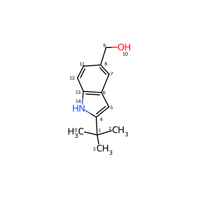 CC(C)(C)c1cc2cc(CO)ccc2[nH]1